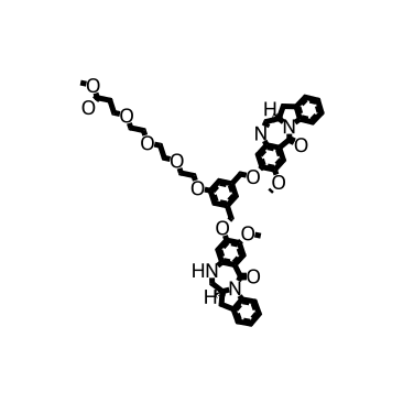 COC(=O)CCOCCOCCOCCOc1cc(COc2cc3c(cc2OC)C(=O)N2c4ccccc4C[C@H]2C=N3)cc(COc2cc3c(cc2OC)C(=O)N2c4ccccc4C[C@H]2CN3)c1